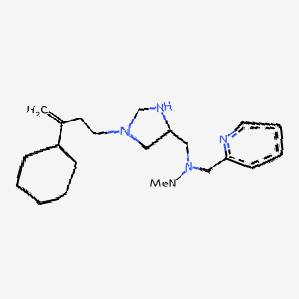 C=C(CCN1CNC(CN(Cc2ccccn2)NC)C1)C1CCCCC1